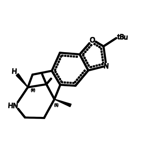 CC(C)(C)c1nc2cc3c(cc2o1)C[C@H]1NCC[C@]3(C)C1(C)C